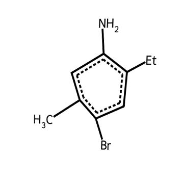 CCc1cc(Br)c(C)cc1N